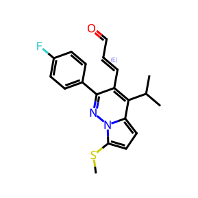 CSc1ccc2c(C(C)C)c(/C=C/C=O)c(-c3ccc(F)cc3)nn12